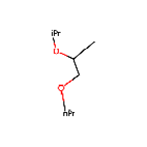 [CH2]CCOCC(C)OC(C)C